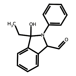 CCC1(O)c2ccccc2C(C=O)N1c1ccccc1